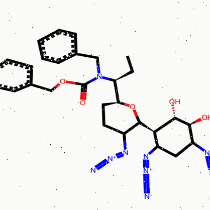 CC[C@@H]([C@@H]1CCC(N=[N+]=[N-])C([C@@H]2C(N=[N+]=[N-])CC(N=[N+]=[N-])[C@H](O)[C@H]2O)O1)N(Cc1ccccc1)C(=O)OCc1ccccc1